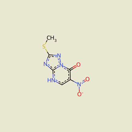 CSc1nc2[nH]cc([N+](=O)[O-])c(=O)n2n1